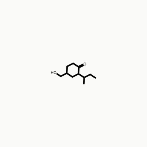 CCC(C)C1CC(CO)CCC1=O